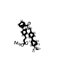 COC(=O)CCc1cccc(N(Cc2ccc(-c3ccc(N(C)C)cc3)cc2)C(=O)C2CC3CCC2C3)c1